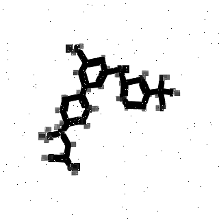 Cc1cc(Nc2nccc(C(F)(F)F)n2)cc(-c2ccc(N(C)CC(=O)O)nn2)c1